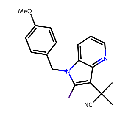 COc1ccc(Cn2c(I)c(C(C)(C)C#N)c3ncccc32)cc1